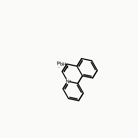 [PbH2].c1ccc2c(c1)cc[n+]1ccccc21